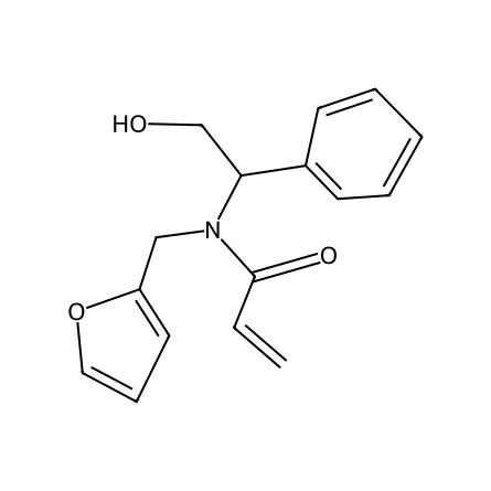 C=CC(=O)N(Cc1ccco1)C(CO)c1ccccc1